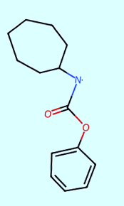 O=C([N]C1CCCCCC1)Oc1ccccc1